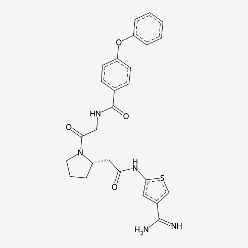 N=C(N)c1csc(NC(=O)C[C@@H]2CCCN2C(=O)CNC(=O)c2ccc(Oc3ccccc3)cc2)c1